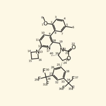 COc1ccc(C)cc1-c1ccc(N2CCC2)nc1CN1C(=O)O[C@H](c2cc(C(F)(F)F)cc(C(F)(F)F)c2)[C@@H]1C